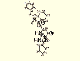 CN(CCc1ccccc1)C(=O)C1(OCC2=CC(=O)N3N=C(C4C=CCCC4)NC3N2)CCCCC1